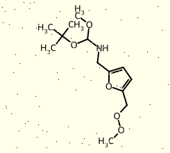 COOCc1ccc(CNC(OC)OC(C)(C)C)o1